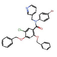 O=C(c1cc(Cl)c(OCc2ccccc2)cc1OCc1ccccc1)N(Cc1cccnc1)c1ccc(Br)cc1